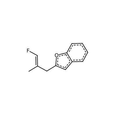 CC(=CF)Cc1cc2ccccc2o1